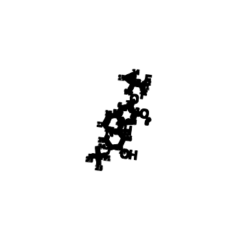 COc1cc2c(cc1OCC1(C(F)F)CC1)C=CN1C[C@@H](CC(C)(C)C)[C@H](O)C[C@H]21